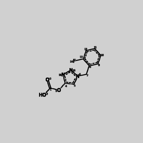 O=C(O)Oc1cn(Cc2ccccc2F)nn1